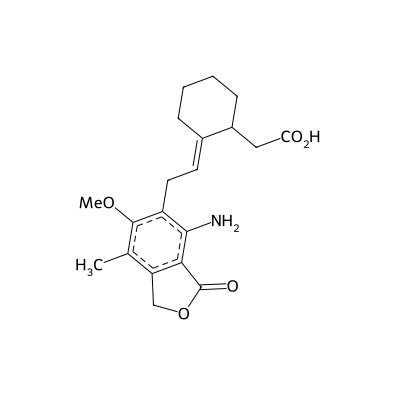 COc1c(C)c2c(c(N)c1C/C=C1\CCCCC1CC(=O)O)C(=O)OC2